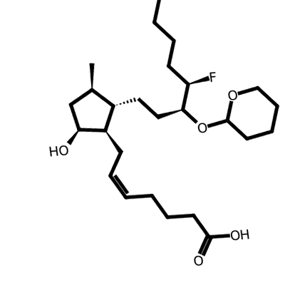 CCCC[C@@H](F)[C@H](CC[C@@H]1[C@@H](C/C=C\CCCC(=O)O)[C@@H](O)C[C@H]1C)OC1CCCCO1